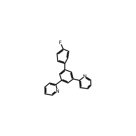 Fc1ccc(-c2cc(-c3ccccn3)cc(-c3ccccn3)c2)cc1